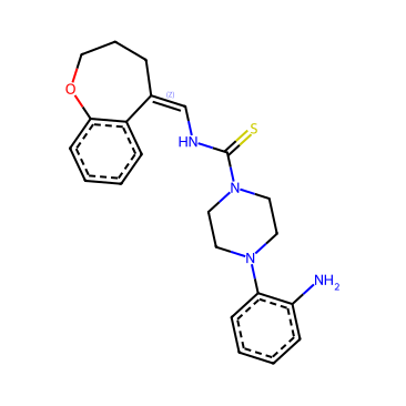 Nc1ccccc1N1CCN(C(=S)N/C=C2/CCCOc3ccccc32)CC1